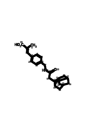 CC(=Cc1ccc(CNC(=O)CC2C3CC4CC(C3)CC2C4)cc1)C(=O)O